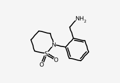 NCc1ccccc1N1CCCCS1(=O)=O